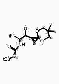 CC(C)[C@H](NC(=O)OC(C)(C)C)C(O)C1=CC12OCC(C)(C)CO2